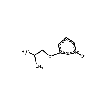 CC(C)COc1ccc[n+]([O-])c1